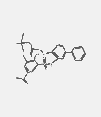 CC(C)(C)OC(=O)COc1ccc(-c2ccccc2)cc1NS(=O)(=O)c1cc(C(=O)O)cc(Cl)c1O